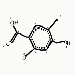 O=C(O)c1cc(I)c(O)cc1Cl